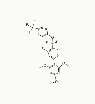 COc1cc(OC)c(-c2ccc(C(F)(F)Oc3ccc(C(F)(F)F)cc3)c(F)c2)c(OC)c1